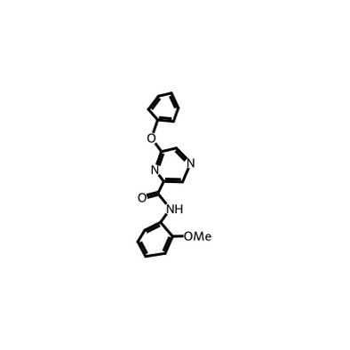 COc1ccccc1NC(=O)c1cncc(Oc2ccccc2)n1